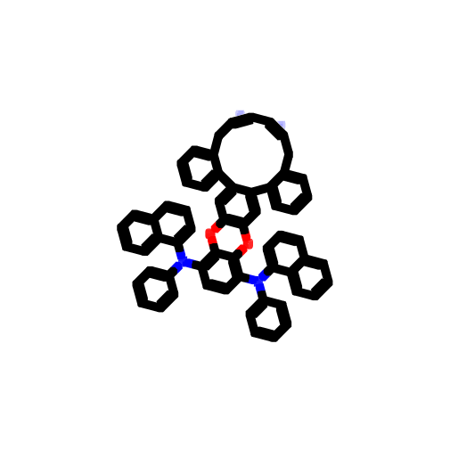 C1=C\Cc2ccccc2-c2cc3c(cc2-c2ccccc2C\C=C/1)Oc1c(N(c2ccccc2)c2cccc4ccccc24)ccc(N(c2ccccc2)c2cccc4ccccc24)c1O3